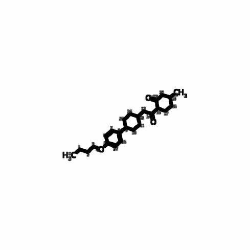 CCCCOc1ccc(C2CCC(CC(=O)C3CCC(C)CC3=O)CC2)cc1